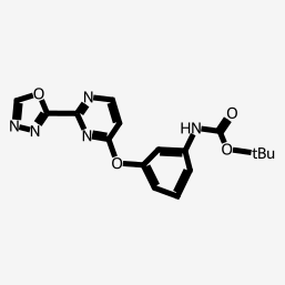 CC(C)(C)OC(=O)Nc1cccc(Oc2ccnc(-c3nnco3)n2)c1